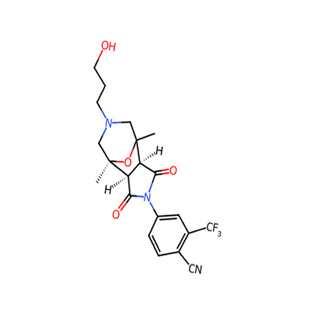 CC12CN(CCCO)C[C@@](C)(O1)[C@@H]1C(=O)N(c3ccc(C#N)c(C(F)(F)F)c3)C(=O)[C@@H]12